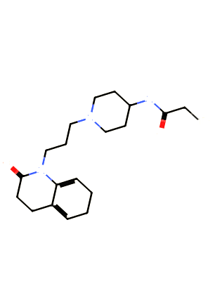 CC(C)CC(=O)NC1CCN(CCCN2C(=O)CCC3=CCCC=C32)CC1